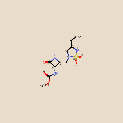 CC(=O)OC[C@@H]1CN(C[C@H]2NC(=O)[C@H]2NC(=O)OC(C)(C)C)S(=O)(=O)N1